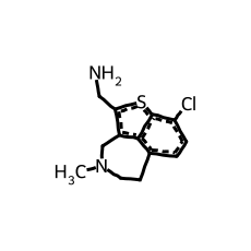 CN1CCc2ccc(Cl)c3sc(CN)c(c23)C1